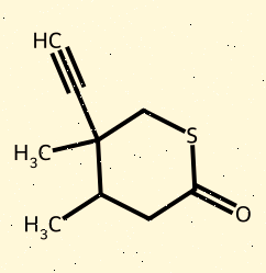 C#CC1(C)CSC(=O)CC1C